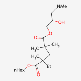 CCCCCCOC(=O)C(C)(CC)CC(C)(C)C(=O)OCC(O)CNC